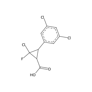 O=C(O)C1C(c2cc(Cl)cc(Cl)c2)C1(F)Cl